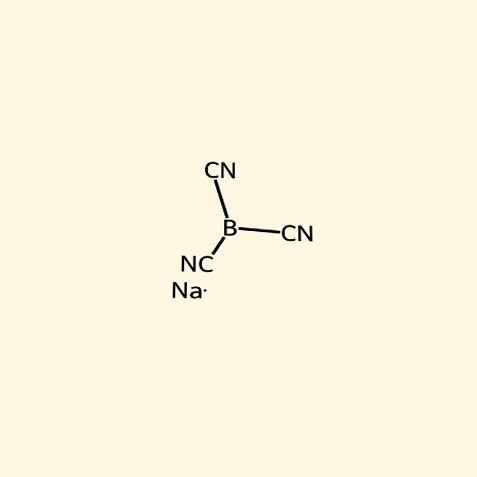 N#CB(C#N)C#N.[Na]